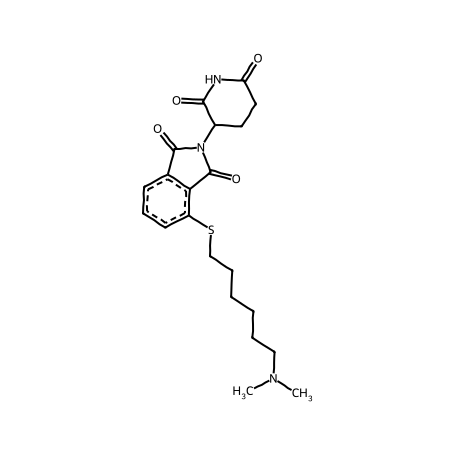 CN(C)CCCCCCSc1cccc2c1C(=O)N(C1CCC(=O)NC1=O)C2=O